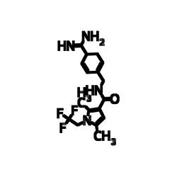 Cc1cc(C(=O)NCC2=CCC(C(=N)N)C=C2)c(C)n1CC(F)(F)F